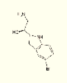 NC[C@H](O)C1Cc2cc(Br)ccc2N1